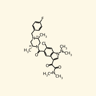 C[C@@H]1CN(Cc2ccc(F)cc2)[C@@H](C)CN1C(=O)c1cc2c(C(=O)C(=O)N(C)C)cn(N(C)C)c2cc1Cl